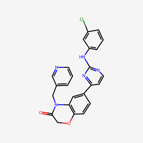 O=C1COc2ccc(-c3ccnc(Nc4cccc(Cl)c4)n3)cc2N1Cc1cccnc1